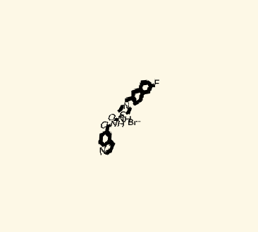 O=C(NC(=O)c1ccc2ncccc2c1)N[c+]1ccn(Cc2ccc3cc(F)ccc3c2)cc1.[Br-]